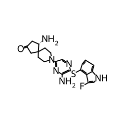 Nc1nc(N2CCC3(CC2)CC(=O)C[C@@H]3N)cnc1Sc1cccc2[nH]cc(F)c12